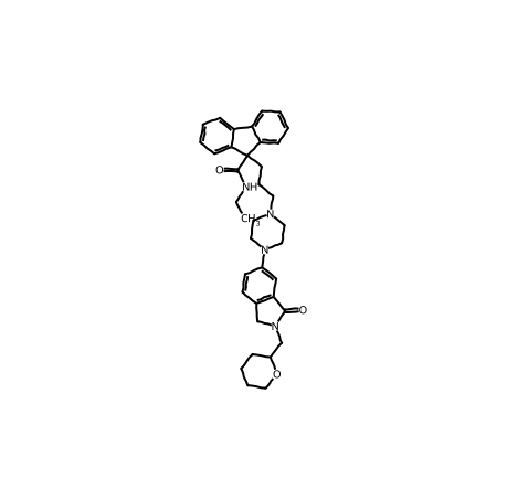 CCNC(=O)C1(CCCN2CCN(c3ccc4c(c3)C(=O)N(CC3CCCCO3)C4)CC2)c2ccccc2-c2ccccc21